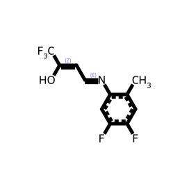 Cc1cc(F)c(F)cc1/N=C/C=C(\O)C(F)(F)F